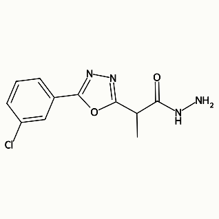 CC(C(=O)NN)c1nnc(-c2cccc(Cl)c2)o1